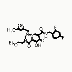 CCOCCN1CN(Cc2cc(C)on2)n2cc(C(=O)NCc3ccc(F)cc3F)c(=O)c(O)c2C1=O